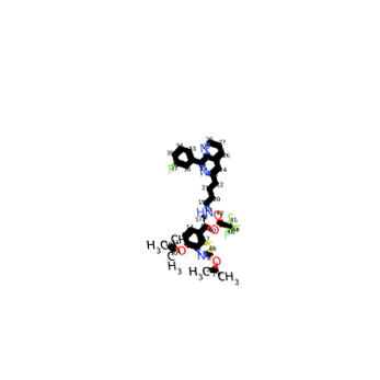 CC(C)Oc1nc2c(OC(C)(C)C)ccc([C@H](CNCCCCc3cc4cccnc4c(-c4cccc(F)c4)n3)OC(=O)C(F)(F)F)c2s1